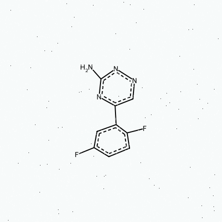 Nc1nncc(-c2cc(F)ccc2F)n1